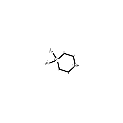 CCCS1(C(C)C)CCNCC1